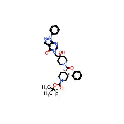 CC(C)(C)OC(=O)N1CC[C@@H](C(=O)N2CCC(O)(Cn3cnc4c(cnn4-c4ccccc4)c3=O)CC2)[C@H](c2ccccc2)C1